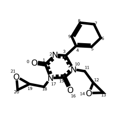 O=c1nc(C2=CCCC=C2)n(CC2CO2)c(=O)n1CC1CO1